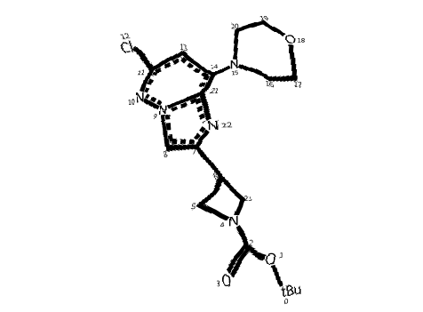 CC(C)(C)OC(=O)N1CC(c2cn3nc(Cl)cc(N4CCOCC4)c3n2)C1